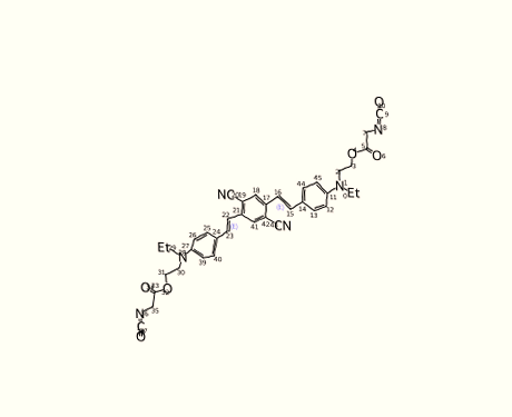 CCN(CCOC(=O)CN=C=O)c1ccc(/C=C/c2cc(C#N)c(/C=C/c3ccc(N(CC)CCOC(=O)CN=C=O)cc3)cc2C#N)cc1